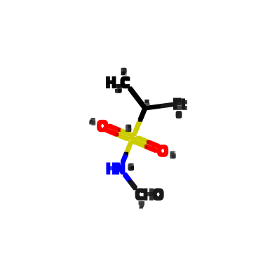 CCC(C)S(=O)(=O)NC=O